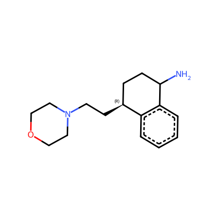 NC1CC[C@H](CCN2CCOCC2)c2ccccc21